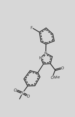 COC(=O)c1cn(-c2cccc(F)c2)nc1-c1ccc(S(C)(=O)=O)cc1